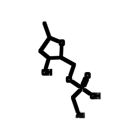 CC(=O)CP(=O)(O)OCC1OC(C)CC1O